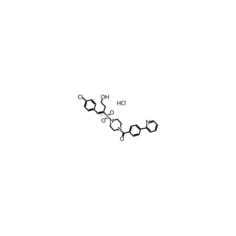 Cl.O=C(c1ccc(-c2ccccn2)cc1)N1CCN(S(=O)(=O)/C(=C/c2ccc(Cl)cc2)CCO)CC1